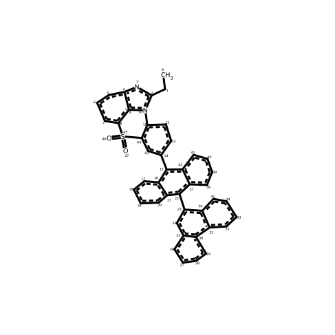 CCc1nc2cccc3c2n1-c1ccc(-c2c4ccccc4c(-c4cc5ccccc5c5ccccc45)c4ccccc24)cc1S3(=O)=O